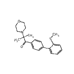 CSc1ccccc1-c1ccc(C(=O)C(C)(C)N2CCOCC2)cc1